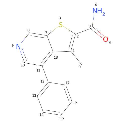 Cc1c(C(N)=O)sc2cncc(-c3ccccc3)c12